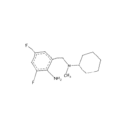 CN(Cc1cc(F)cc(F)c1N)C1CCCCC1